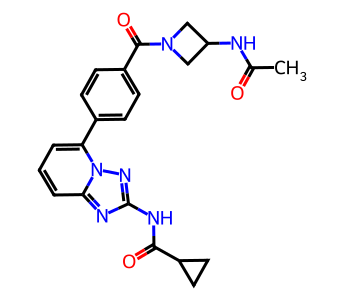 CC(=O)NC1CN(C(=O)c2ccc(-c3cccc4nc(NC(=O)C5CC5)nn34)cc2)C1